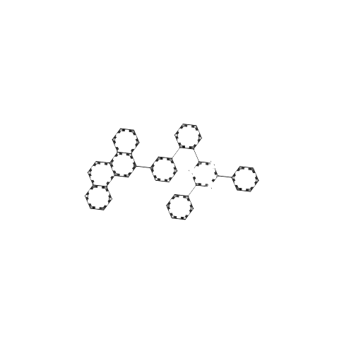 c1ccc(-c2nc(-c3ccccc3)nc(-c3ccccc3-c3cccc(-c4cc5c6ccccc6ccc5c5ccccc45)c3)n2)cc1